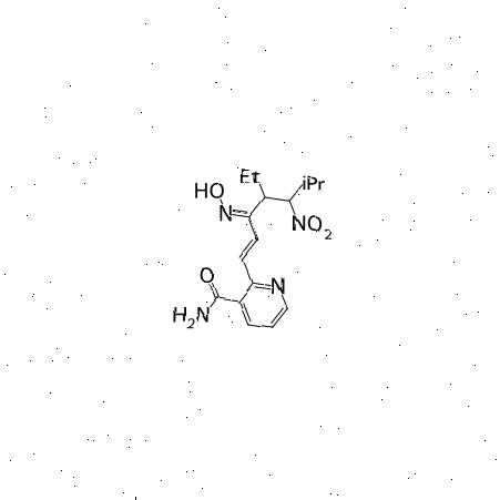 CCC(C(C=Cc1ncccc1C(N)=O)=NO)C(C(C)C)[N+](=O)[O-]